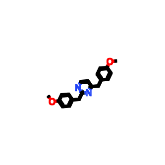 COc1ccc(Cc2ccnc(Cc3ccc(OC)cc3)n2)cc1